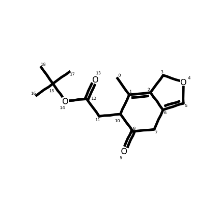 CC1=C2COC=C2CC(=O)C1CC(=O)OC(C)(C)C